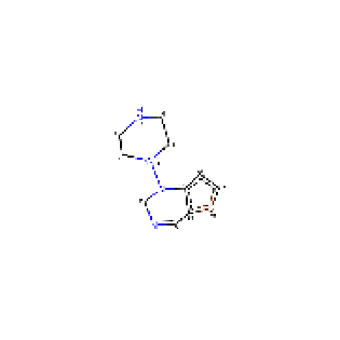 C1=NCN(N2CCNCC2)c2ccsc21